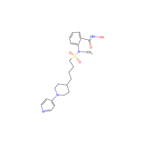 CN(c1ccccc1C(=O)NO)S(=O)(=O)CCCCC1CCN(c2ccncc2)CC1